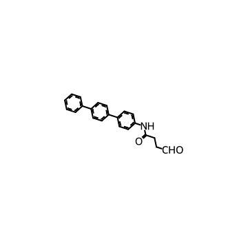 O=CCCC(=O)Nc1ccc(-c2ccc(-c3ccccc3)cc2)cc1